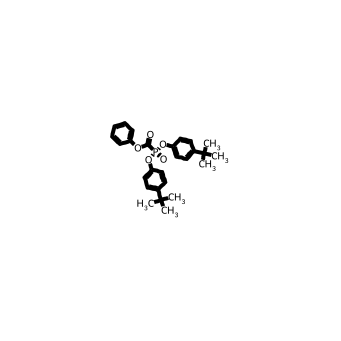 CC(C)(C)c1ccc(OP(=O)(Oc2ccc(C(C)(C)C)cc2)C(=O)Oc2ccccc2)cc1